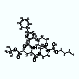 CCCCOC(=O)N1CCN(C(=O)C(CCC(=O)OC(C)(C)C)NC(=O)c2nc(-c3ccccc3)sc2N2CCOCC2)CC1